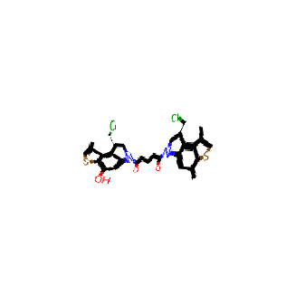 Cc1cc2c(c3c(C)csc13)[C@H](CCl)CN2C(=O)CCCC(=O)N1C[C@@H](CCl)c2c1cc(O)c1scc(C)c21